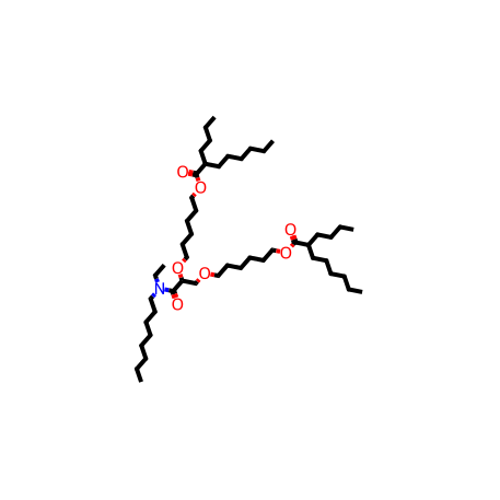 CCCCCCCCN(CC)C(=O)C(COCCCCCCOC(=O)C(CCCC)CCCCCC)OCCCCCCOC(=O)C(CCCC)CCCCCC